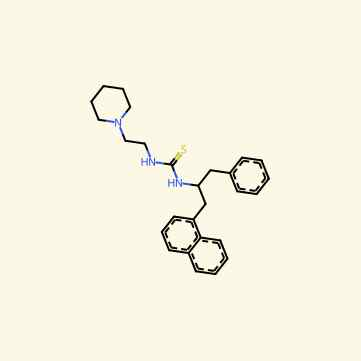 S=C(NCCN1CCCCC1)NC(Cc1ccccc1)Cc1cccc2ccccc12